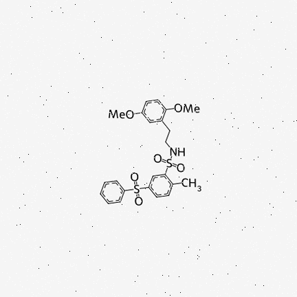 COc1ccc(OC)c(CCNS(=O)(=O)c2cc(S(=O)(=O)c3ccccc3)ccc2C)c1